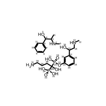 CNC(C)C(O)c1ccccc1.CNCC(O)c1cccc(OP(=O)(O)C(O)(CCCN)P(=O)(O)O)c1